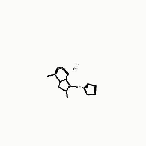 CC1=CC=CC2C1CC(C)[CH]2[Zr+2][C]1=CC=CC1.[Cl-].[Cl-]